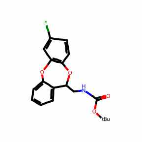 CC(C)(C)OC(=O)NCC1Oc2ccc(F)cc2Oc2ccccc21